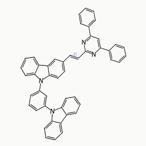 C(=C\c1nc(-c2ccccc2)cc(-c2ccccc2)n1)/c1ccc2c(c1)c1ccccc1n2-c1cccc(-n2c3ccccc3c3ccccc32)c1